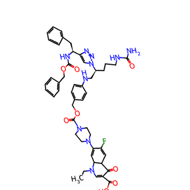 CCN1C=C(C(=O)O)C(=O)C2C=C(F)C(N3CCN(C(=O)OCc4ccc(NC[C@H](CCCNC(N)=O)n5cc([C@H](Cc6ccccc6)NC(=O)OCc6ccccc6)nn5)cc4)CC3)=CC21